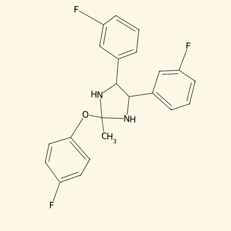 CC1(Oc2ccc(F)cc2)NC(c2cccc(F)c2)C(c2cccc(F)c2)N1